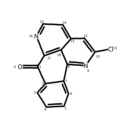 O=C1c2ccccc2-c2nc(Cl)cc3ccnc1c23